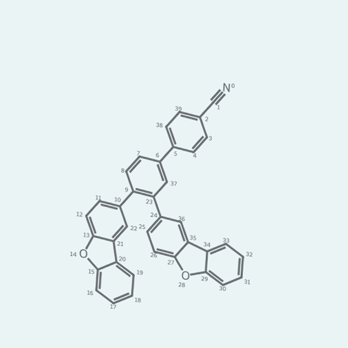 N#Cc1ccc(-c2ccc(-c3ccc4oc5ccccc5c4c3)c(-c3ccc4oc5ccccc5c4c3)c2)cc1